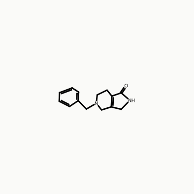 O=C1NCC2=C1CCN(Cc1ccccc1)C2